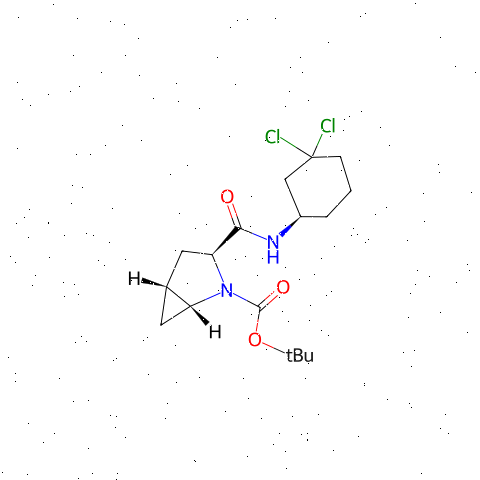 CC(C)(C)OC(=O)N1[C@@H]2C[C@@H]2C[C@H]1C(=O)N[C@@H]1CCCC(Cl)(Cl)C1